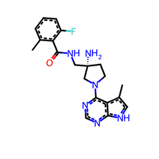 Cc1cccc(F)c1C(=O)NC[C@@]1(N)CCN(c2ncnc3[nH]cc(C)c23)C1